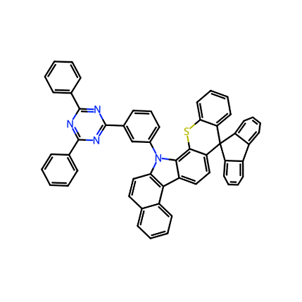 c1ccc(-c2nc(-c3ccccc3)nc(-c3cccc(-n4c5ccc6ccccc6c5c5ccc6c(c54)Sc4ccccc4C64c5ccccc5-c5ccccc54)c3)n2)cc1